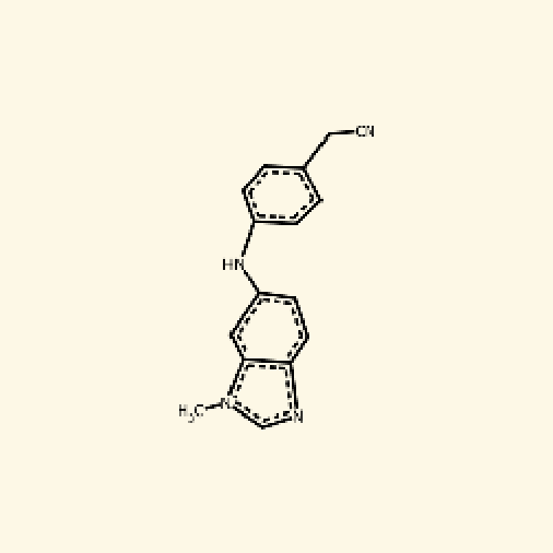 Cn1cnc2ccc(Nc3ccc(CC#N)cc3)cc21